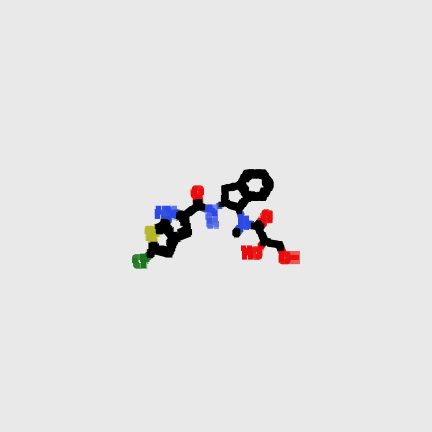 CN(C(=O)[C@H](O)CO)[C@@H]1c2ccccc2C[C@H]1NC(=O)c1cc2cc(Cl)sc2[nH]1